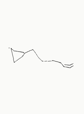 C=CCCCC1[CH]C1